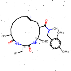 CCCC1CCCC/C=C/CC(C(=O)N(C)Cc2ccc(OC)cc2OC)C[C@@H](C=O)NC(=O)[C@H](CC(C)C)NC1=O